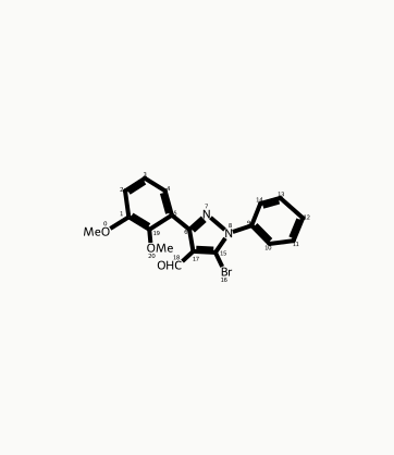 COc1cccc(-c2nn(-c3ccccc3)c(Br)c2C=O)c1OC